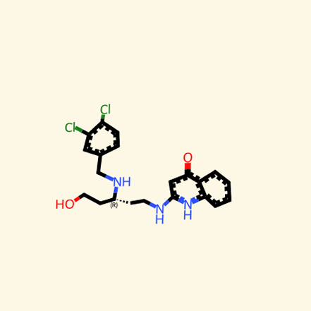 O=c1cc(NCC[C@H](CCO)NCc2ccc(Cl)c(Cl)c2)[nH]c2ccccc12